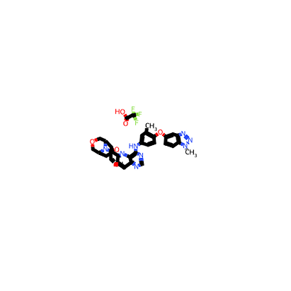 C=CC(=O)N1C2COCC1CC(c1ccc3ncnc(Nc4ccc(Oc5ccc6c(c5)nnn6C)c(C)c4)c3n1)C2.O=C(O)C(F)(F)F